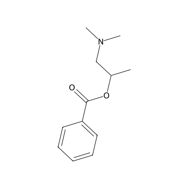 CC(CN(C)C)OC(=O)c1ccccc1